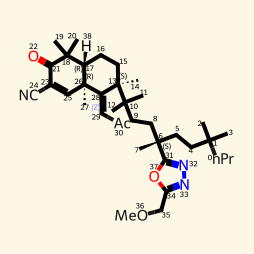 CCCC(C)(C)CC[C@@](C)(CCC(C)(C)[C@]1(C)CC[C@H]2C(C)(C)C(=O)C(C#N)=C[C@]2(C)/C1=C/C(C)=O)c1nnc(COC)o1